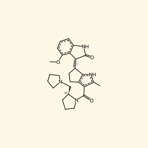 COc1cccc2c1/C(=C1\CCc3c1[nH]c(C)c3C(=O)N1CCC[C@H]1CN1CCCC1)C(=O)N2